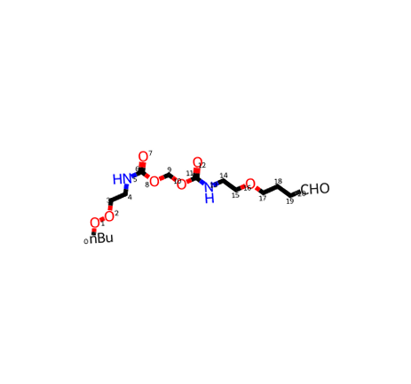 CCCCOOCCNC(=O)OCOC(=O)NCCOCCCC=O